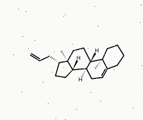 C=C[CH][C@H]1CC[C@H]2[C@@H]3CC=C4CCCC[C@]4(C)[C@H]3CC[C@]12C